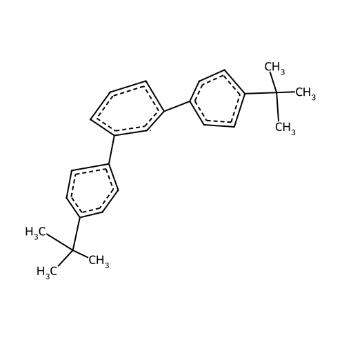 CC(C)(C)c1ccc(-c2[c]c(-c3ccc(C(C)(C)C)cc3)ccc2)cc1